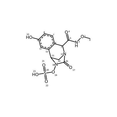 CONC(=O)C1c2ccc(O)cc2C2CN1C(=O)N2OS(=O)(=O)O